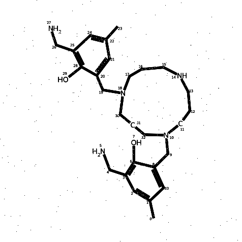 Cc1cc(CN)c(O)c(CN2CCCNCCCN(Cc3cc(C)cc(CN)c3O)CCC2)c1